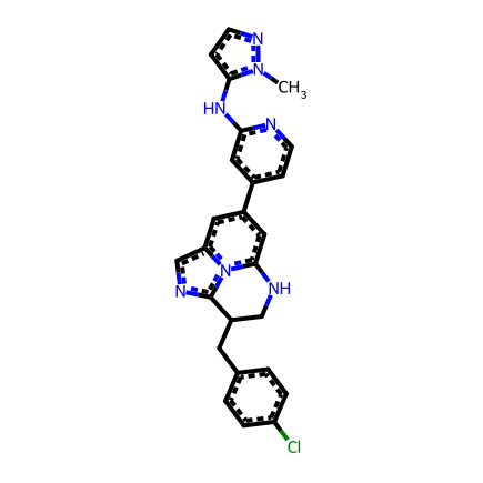 Cn1nccc1Nc1cc(-c2cc3n4c(ncc4c2)C(Cc2ccc(Cl)cc2)CN3)ccn1